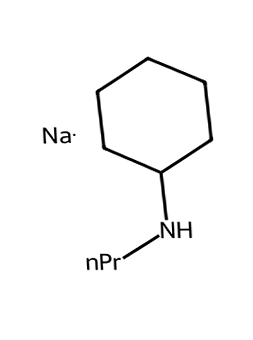 CCCNC1CCCCC1.[Na]